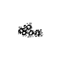 CC1(C)OB(c2ccc(-c3ccc4nccc5c4c3-c3ccccc3S5)cc2)OC1(C)C